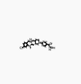 C=CN(C)c1cc(Cl)ccc1CNCC1CCN(c2ncc(C(=O)NO)cn2)CC1